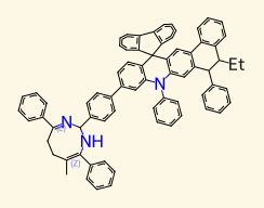 CCC1c2ccccc2-c2cc3c(cc2C1c1ccccc1)N(c1ccccc1)c1cc(-c2ccc(C4/N=C(/c5ccccc5)CC/C(C)=C(/c5ccccc5)N4)cc2)ccc1C31c2ccccc2-c2ccccc21